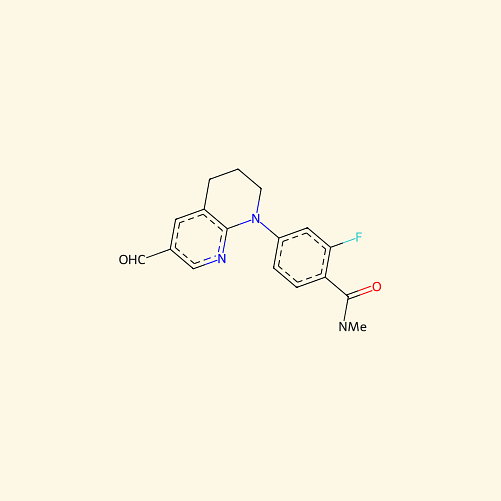 CNC(=O)c1ccc(N2CCCc3cc(C=O)cnc32)cc1F